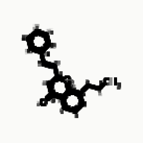 CCCc1cccc2c(=O)cc(/C=C/c3ccccc3)oc12